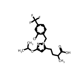 CC(C)Oc1cc(CCC(C)C(=O)O)n(Cc2ccc(C(F)(F)F)cc2Cl)n1